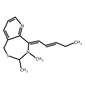 CC/C=C/C=C1/c2ncccc2CSC(C)N1C